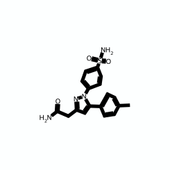 Cc1ccc(-c2cc(CC(N)=O)nn2-c2ccc(S(N)(=O)=O)cc2)cc1